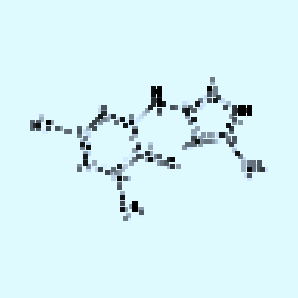 Cc1cc(Nc2n[nH]c(N)n2)c(=O)n(C)n1